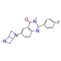 CN1CC2C1CN2c1ccc2nc(-c3ccc(F)cc3)n(C)c(=O)c2c1